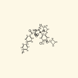 C[C@@H](NC(=O)C(=O)c1ccc(-c2ccc(F)cc2)cc1)[C@](O)(c1ccc(OC2CCC2)c(Cl)c1)N1CCCC1